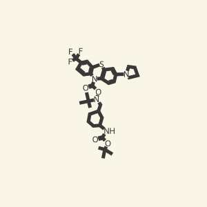 CC(C)(C)OC(=O)NC1CCCC(CN(OC(=O)N2c3ccc(N4CCCC4)cc3Sc3cc(C(F)(F)F)ccc32)C(C)(C)C)C1